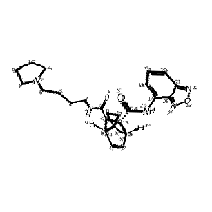 O=C(NCCCCN1CCCC1)[C@H]1[C@H](C(=O)Nc2cccc3nonc23)[C@@H]2C=C[C@H]1C21CC1